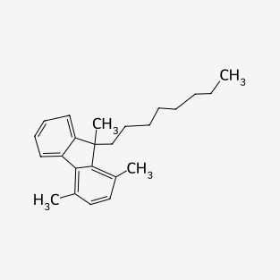 CCCCCCCCC1(C)c2ccccc2-c2c(C)ccc(C)c21